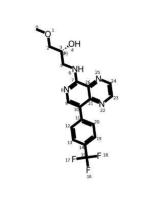 COC[C@H](O)CNc1ncc(-c2ccc(C(F)(F)F)cc2)c2nccnc12